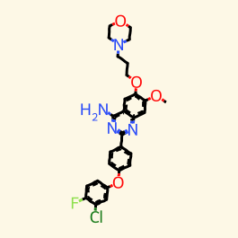 COc1cc2nc(-c3ccc(Oc4ccc(F)c(Cl)c4)cc3)nc(N)c2cc1OCCCN1CCOCC1